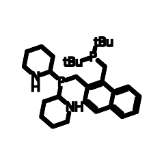 CC(C)(C)P(Cc1c(CP(C2CCCCN2)C2CCCCN2)ccc2ccccc12)C(C)(C)C